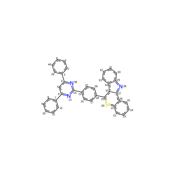 c1ccc(-c2cc(-c3ccccc3)nc(-c3ccc(-c4sc5ccccc5c5nc6ccccc6c4-5)cc3)n2)cc1